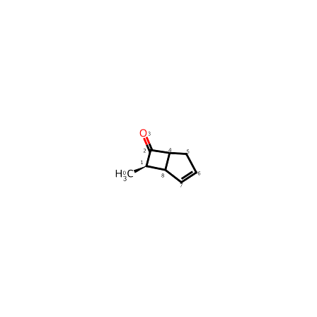 C[C@H]1C(=O)C2CC=CC21